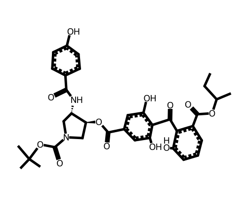 CCC(C)OC(=O)c1cccc(O)c1C(=O)c1c(O)cc(C(=O)O[C@H]2CN(C(=O)OC(C)(C)C)C[C@@H]2NC(=O)c2ccc(O)cc2)cc1O